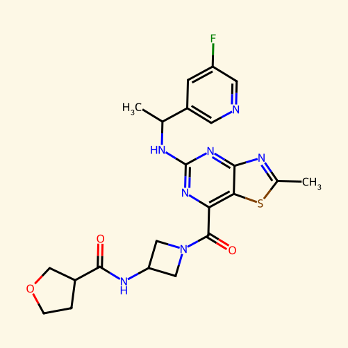 Cc1nc2nc(NC(C)c3cncc(F)c3)nc(C(=O)N3CC(NC(=O)C4CCOC4)C3)c2s1